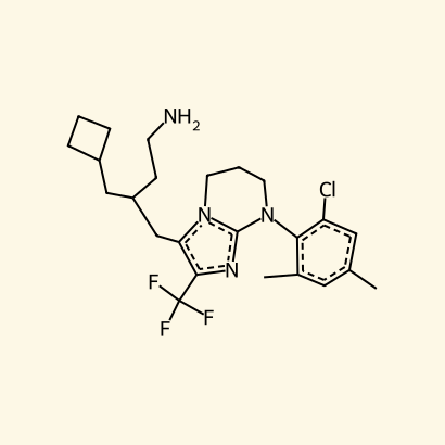 Cc1cc(C)c(N2CCCn3c2nc(C(F)(F)F)c3CC(CCN)CC2CCC2)c(Cl)c1